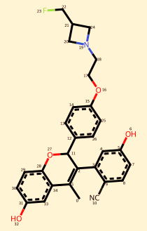 CC1=C(c2cc(O)ccc2C#N)C(c2ccc(OCCN3CC(CF)C3)cc2)Oc2ccc(O)cc21